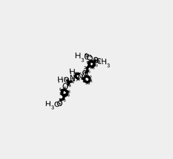 COCCc1ccc(OCC(O)CNC2CCN([C@H]3CCCC[C@@H]3OCCc3ccc(OC)c(OC)c3)C2)cc1